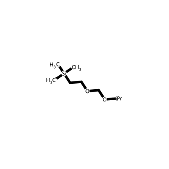 CC(C)OCOCC[Si](C)(C)C